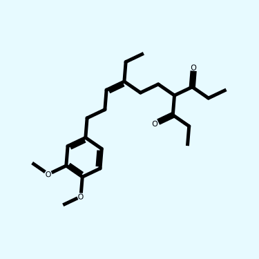 CCC(=O)C(CCC(=CCCc1ccc(OC)c(OC)c1)CC)C(=O)CC